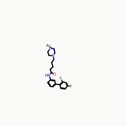 CC(=O)N1CCN(CCCCC(=O)Nc2cccc(-c3ccc(F)cc3F)c2)CC1